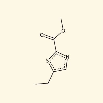 [CH2]Cc1cnc(C(=O)OC)s1